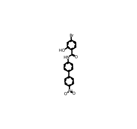 O=C(Nc1ccc(-c2ccc([N+](=O)[O-])cc2)cc1)c1ccc(Br)cc1O